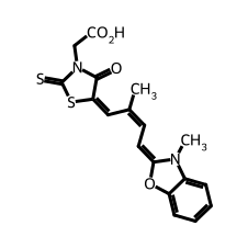 CC(=CC=C1Oc2ccccc2N1C)C=C1SC(=S)N(CC(=O)O)C1=O